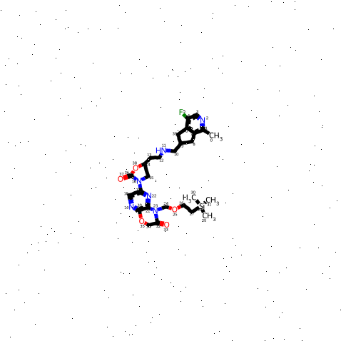 Cc1ncc(F)c2c1CC(CNCCC1CN(c3cnc4c(n3)N(COCC[Si](C)(C)C)C(=O)CO4)C(=O)O1)C2